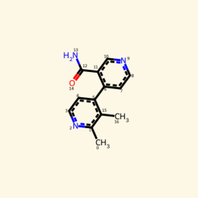 Cc1nccc(-c2ccncc2C(N)=O)c1C